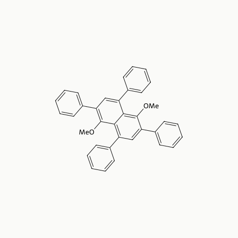 COc1c(-c2ccccc2)cc(-c2ccccc2)c2c(OC)c(-c3ccccc3)cc(-c3ccccc3)c12